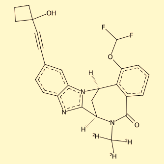 [2H]C([2H])([2H])N1C(=O)c2cccc(OC(F)F)c2[C@H]2C[C@@H]1c1nc3ccc(C#CC4(O)CCC4)cc3n12